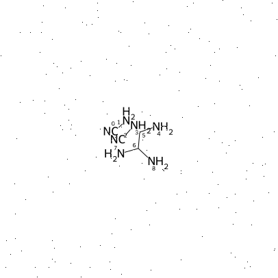 N#CN.N#CN.NCC(N)N